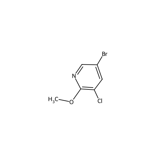 COc1ncc(Br)cc1Cl